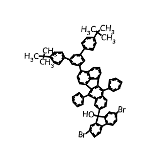 CC(C)(C)c1ccc(-c2cc(-c3ccc(C(C)(C)C)cc3)cc(-c3ccc4c5c(cccc35)-c3c-4c(-c4ccccc4)c4cc(C5(O)c6cc(Br)ccc6-c6ccc(Br)cc65)ccc4c3-c3ccccc3)c2)cc1